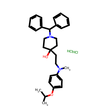 CC(C)Oc1ccc(N(C)CCC2(O)CCN(C(c3ccccc3)c3ccccc3)CC2)cc1.Cl.Cl